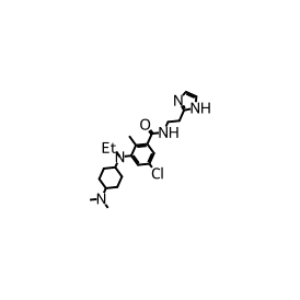 CCN(c1cc(Cl)cc(C(=O)NCCc2ncc[nH]2)c1C)C1CCC(N(C)C)CC1